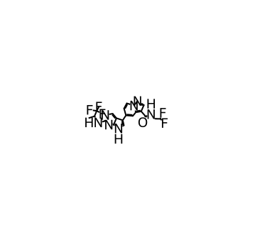 CC(Nc1ncc2c(-c3ccn4ncc(C(=O)NCC(F)F)c4c3)c[nH]c2n1)C(F)(F)F